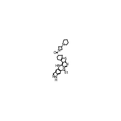 CCOc1cc2[nH]ncc2cc1Nc1ncnc2sc3c(c12)CC[C@H](C(=O)N1CC(N2CCCCC2)C1)C3